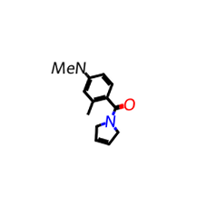 CNc1ccc(C(=O)N2CC=CC2)c(C)c1